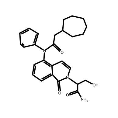 NC(=O)C(CO)n1ccc2c(N(C(=O)CC3CCCCCC3)c3ccccc3)cccc2c1=O